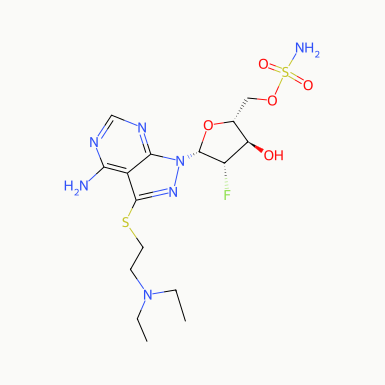 CCN(CC)CCSc1nn([C@@H]2O[C@H](COS(N)(=O)=O)[C@@H](O)[C@@H]2F)c2ncnc(N)c12